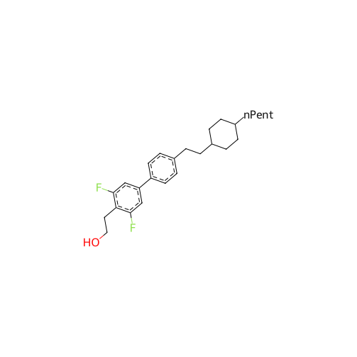 CCCCCC1CCC(CCc2ccc(-c3cc(F)c(CCO)c(F)c3)cc2)CC1